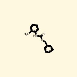 Cc1cc[c]cc1NC(=O)OCc1ccccc1